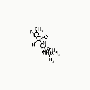 Cc1cc2c(cc1F)c(C#N)c(-c1ccc(S(=O)(=O)NC(C)(C)C)cn1)n2C1CCC1